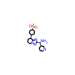 CS(=O)(=O)c1ccc(-c2cccn3nc(C(N)c4cccnc4)nc23)cc1